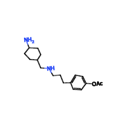 CC(=O)Oc1ccc(CCCNCC2CCC(N)CC2)cc1